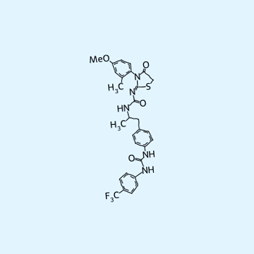 COc1ccc(N2C(=O)CS/C2=N\C(=O)NC(C)Cc2ccc(NC(=O)Nc3ccc(C(F)(F)F)cc3)cc2)c(C)c1